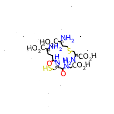 N[C@@H](CCC(=O)N[C@@H](CS)C(=O)NCC(=O)O)C(=O)O.N[C@@H](CCSC[C@H](N)C(=O)O)C(=O)O